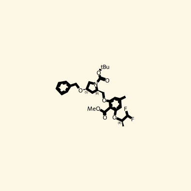 COC(=O)c1c(OC[C@H]2C[C@H](OCc3ccccc3)CN2C(=O)OC(C)(C)C)cc(C)cc1O[C@H](C)C(F)F